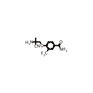 CC(N)(C#N)COc1ccc(C(N)=O)cc1C(F)(F)F